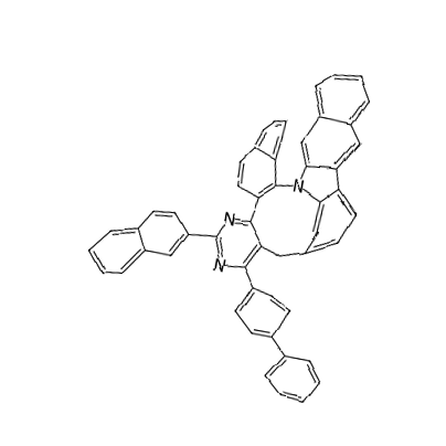 c1ccc(-c2ccc(-c3nc(-c4ccc5ccccc5c4)nc4c3Cc3ccc5c6cc7ccccc7cc6n(c5c3)-c3c-4ccc4ccccc34)cc2)cc1